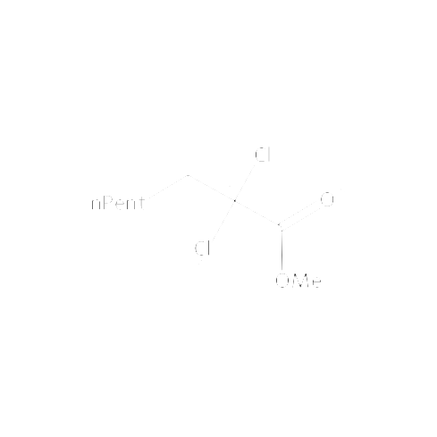 CCCCCCC(Cl)(Cl)C(=O)OC